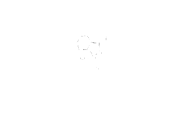 COc1cccc2c(C(C)C)nn(CN3CCOCC3)c12